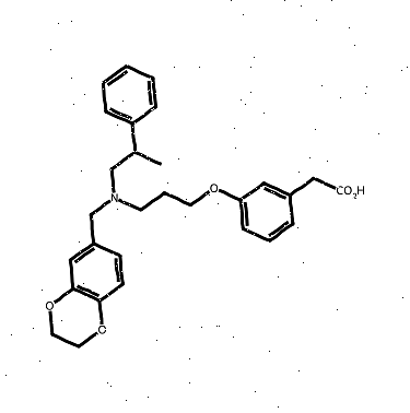 CC(CN(CCCOc1cccc(CC(=O)O)c1)Cc1ccc2c(c1)OCCO2)c1ccccc1